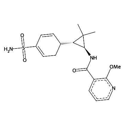 COc1ncccc1C(=O)N[C@H]1[C@H](C2C=CC(S(N)(=O)=O)=CC2)C1(C)C